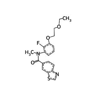 CCOCCOc1cccc(N(C)C(=O)c2ccc3ncsc3c2)c1F